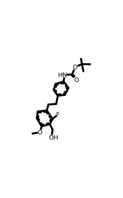 COc1ccc(CCc2ccc(NC(=O)OC(C)(C)C)cc2)c(F)c1CO